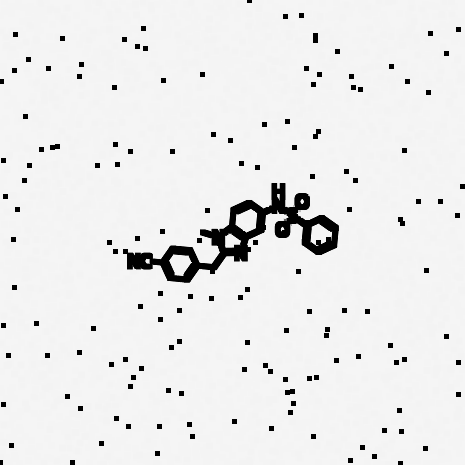 Cn1c(Cc2ccc(C#N)cc2)nc2cc(NS(=O)(=O)c3ccccc3)ccc21